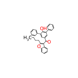 CCCCc1oc2ccccc2c1C(=O)c1cc(-c2ccccc2)c(O)c(-c2ccccc2)c1